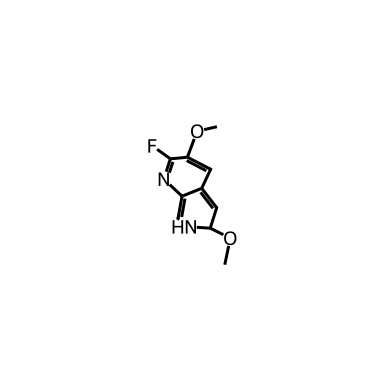 COc1cc2c(nc1F)=CNC(OC)C=2